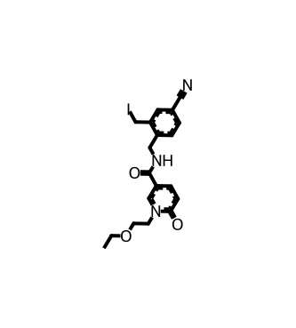 CCOCCn1cc(C(=O)NCc2ccc(C#N)cc2CI)ccc1=O